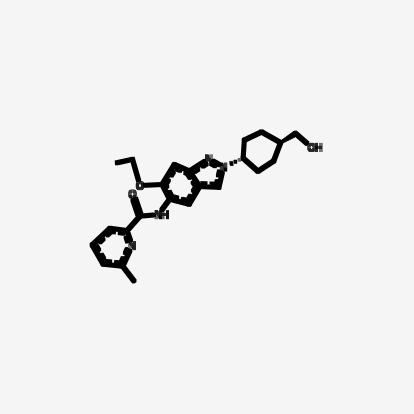 CCOc1cc2nn([C@H]3CC[C@H](CO)CC3)cc2cc1NC(=O)c1cccc(C)n1